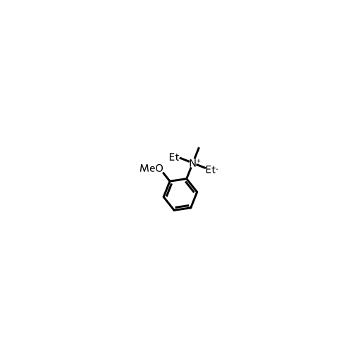 C[CH][N+](C)(CC)c1ccccc1OC